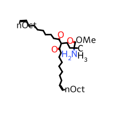 CCCCCCCC/C=C\CCCCCCCC(=O)C(CCC(C)(N)C(=O)OC)C(=O)CCCCCCC/C=C\CCCCCCCC